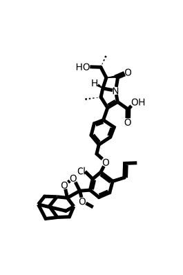 C/C=C/c1ccc(C2(OC)OOC23C2CC4CC(C2)CC3C4)c(Cl)c1OCc1ccc(C2=C(C(=O)O)N3C(=O)[C@H]([C@@H](C)O)[C@H]3[C@H]2C)cc1